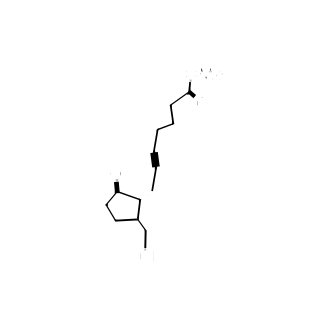 COC(=O)CCCC#CC[C@H]1C(=O)CCC1CO